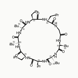 CC[C@H](C)[C@@H]1NC(=O)CNC(=O)[C@H](CC(C)C)NC(=O)[C@H](CC(C)C)NC(=O)[C@H]([C@@H](C)CC)NC(=O)[C@H]([C@@H](C)CC)NC(=O)[C@H](CC(C)C)NC(=O)[C@H](C(C)C)NC(=O)[C@H]([C@@H](C)CC)NC1=O